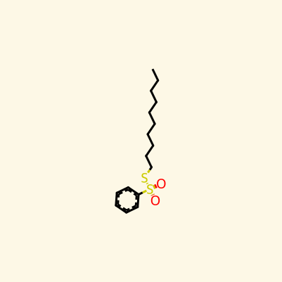 CCCCCCCCCCSS(=O)(=O)c1ccccc1